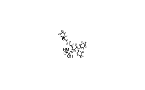 Fc1ccc(C(c2ccc(F)cc2)C2CCN(CCCCOc3ccccc3)CC2)cc1.O=C(O)C(=O)O